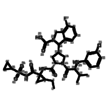 CCC1CC1(NC(=O)[C@@H]1C[C@@H](C2c3cccc(F)c3CN2C(=O)O)CN1C(=O)[C@@H](Nc1cccc(Cl)c1)C(C)C)C(=O)NS(=O)(=O)C1CC1